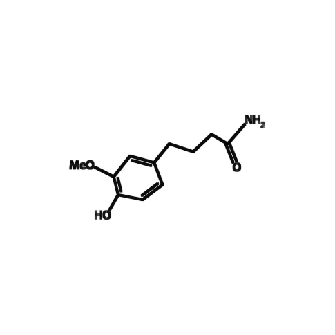 COc1cc(CCCC(N)=O)ccc1O